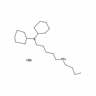 Br.CCCCPCCCCCB(C1CCCCC1)C1CCCCC1